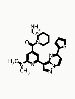 CN(C)c1cc(C(=O)N2CCCC[C@H]2CN)cc(-c2cnn3ccc(-c4cccs4)nc23)n1